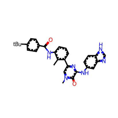 Cc1c(NC(=O)c2ccc(C(C)(C)C)cc2)cccc1-c1cn(C)c(=O)c(Nc2ccc3[nH]cnc3c2)n1